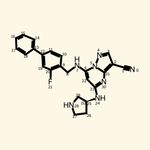 N#Cc1cnn2c(NCc3ccc(-c4ccccc4)cc3F)cc(N[C@H]3CCNC3)nc12